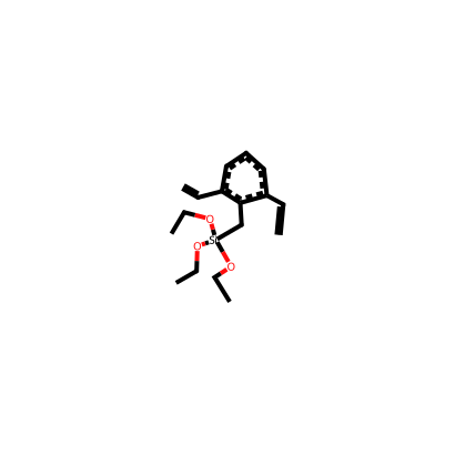 C=Cc1cccc(C=C)c1C[Si](OCC)(OCC)OCC